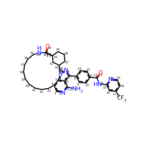 Nc1ncc2c3c1c(-c1ccc(C(=O)Nc4cc(C(F)(F)F)ccn4)cc1)nn3[C@@H]1CCC[C@H](C1)C(=O)NCCCCCCCCC2